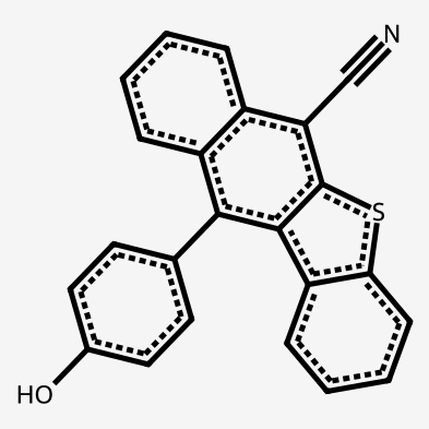 N#Cc1c2ccccc2c(-c2ccc(O)cc2)c2c1sc1ccccc12